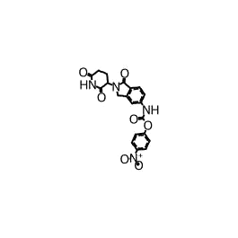 O=C1CCC(N2Cc3cc(NC(=O)Oc4ccc([N+](=O)[O-])cc4)ccc3C2=O)C(=O)N1